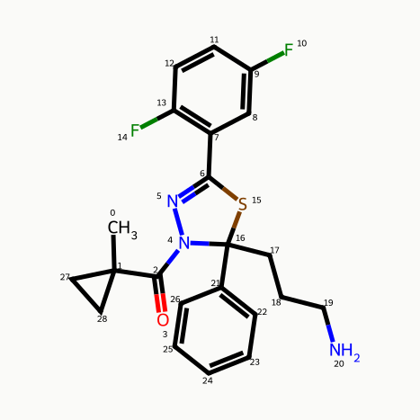 CC1(C(=O)N2N=C(c3cc(F)ccc3F)SC2(CCCN)c2ccccc2)CC1